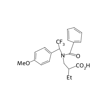 CCC(CN(C(=O)c1ccccc1)C(c1ccc(OC)cc1)C(F)(F)F)C(=O)O